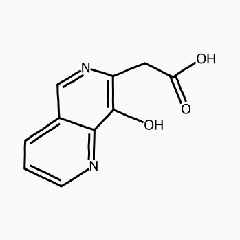 O=C(O)Cc1ncc2cccnc2c1O